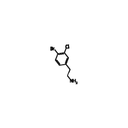 NCCc1ccc(Br)c(Cl)c1